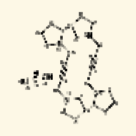 C(#CCN1CCCC1)CN1CCCC1.C(#CCN1CCCC1)CN1CCCC1.Cl.Cl.Cl